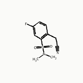 CN(C)S(=O)(=O)c1cc(F)ccc1CC#N